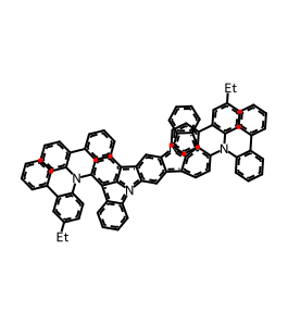 CCc1ccc(N(c2ccccc2-c2ccccc2)c2ccc3c4cc5c(cc4n4c6ccccc6c2c34)c2ccc(N(c3ccccc3-c3ccccc3)c3ccc(CC)cc3-c3ccccc3)c3c4ccccc4n5c23)c(-c2ccccc2)c1